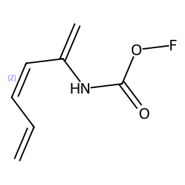 C=C/C=C\C(=C)NC(=O)OF